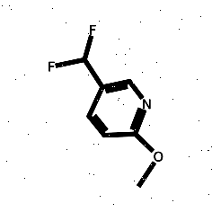 COc1ccc(C(F)F)cn1